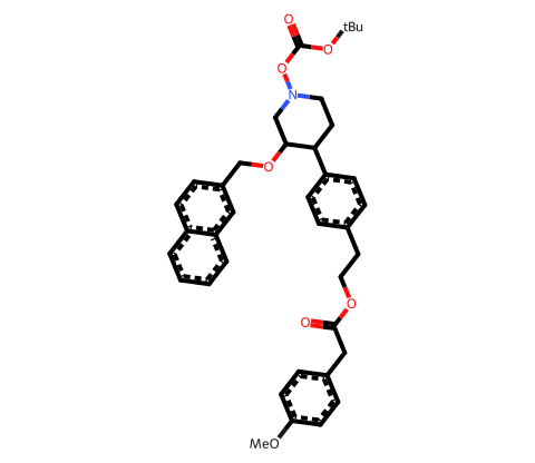 COc1ccc(CC(=O)OCCc2ccc(C3CCN(OC(=O)OC(C)(C)C)CC3OCc3ccc4ccccc4c3)cc2)cc1